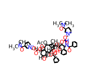 CC(=O)O[C@H]1C(=O)[C@]2(C)[C@@H](OC(=O)OC[n+]3cccc(C(=O)N(C)C)c3)C[C@H]3OC[C@@]3(OC(C)=O)[C@H]2[C@H](OC(=O)c2ccccc2)[C@]2(O)C[C@H](OC(=O)[C@H](OC(=O)OC[n+]3cccc(C(=O)N(C)C)c3)[C@@H](NC(=O)c3ccccc3)c3ccccc3)C(C)=C1C2(C)C